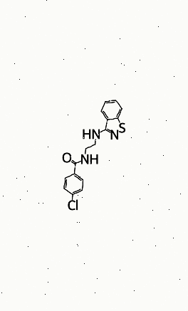 O=C(NCCNc1nsc2ccccc12)c1ccc(Cl)cc1